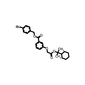 CCC(C)c1ccc(COC(=O)c2cccc(OCC(=O)OC(C)(C)C3CCCCC3)c2)cc1